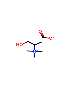 CC(CO)[N+](C)(C)C.O=C[O-]